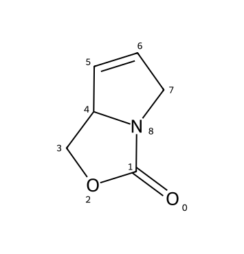 O=C1OCC2C=CCN12